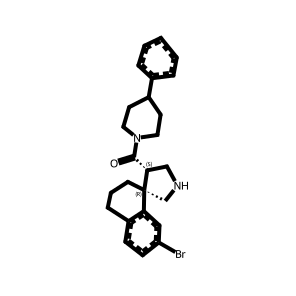 O=C([C@@H]1CNC[C@]12CCCc1ccc(Br)cc12)N1CCC(c2ccccc2)CC1